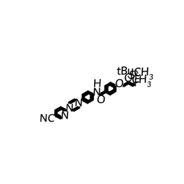 CC(C)(C)[Si](C)(C)OC(CF)COc1ccc(C(=O)Nc2ccc(N3CCN(c4ccc(C#N)cn4)CC3)cc2)cc1